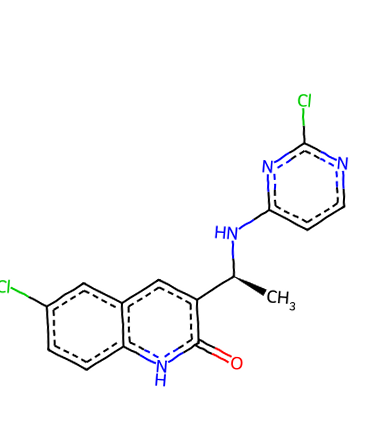 C[C@H](Nc1ccnc(Cl)n1)c1cc2cc(Cl)ccc2[nH]c1=O